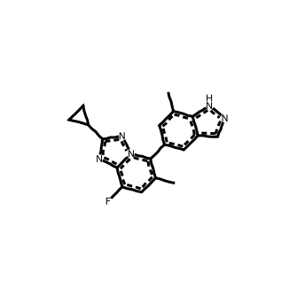 Cc1cc(F)c2nc(C3CC3)nn2c1-c1cc(C)c2[nH]ncc2c1